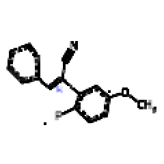 COc1ccc(F)c(/C(C#N)=C/c2ccccc2)c1